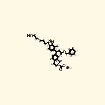 Cc1c(C(CC(=O)OCc2ccccc2)c2ccc3c(c2)CN(C(=O)OC(C)(C)C)CC3)ccc2c1nnn2CCCOCCO